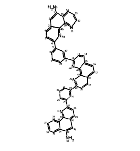 Nc1cc2ccc(-c3cccc(-c4ccc5ccc6ccc(-c7cccc(-c8ccc9cc(N)c%10cccnc%10c9n8)c7)nc6c5n4)c3)nc2c2ncccc12